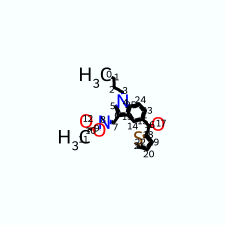 CCCCn1cc(/C=N/OC(C)=O)c2cc(C(=O)c3cccs3)ccc21